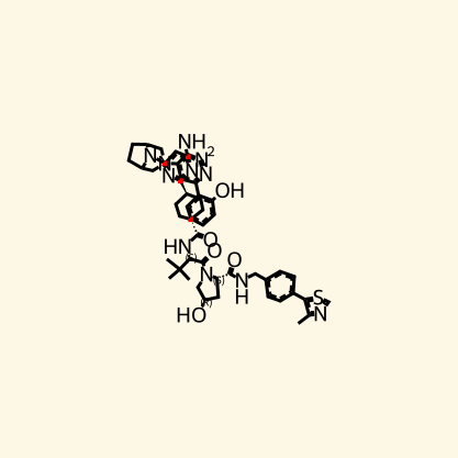 Cc1ncsc1-c1ccc(CNC(=O)[C@@H]2C[C@@H](O)CN2C(=O)[C@@H](NC(=O)[C@H]2CC[C@H](c3nccc(N4C5CCC4CN(c4cc(-c6ccccc6O)nnc4N)C5)n3)CC2)C(C)(C)C)cc1